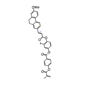 C=C(C)C(=O)Oc1ccc(C(=O)Oc2ccc(OC(=O)/C=C/c3ccc4c(c3)CCc3cc(OC)ccc3-4)c(I)c2)cc1